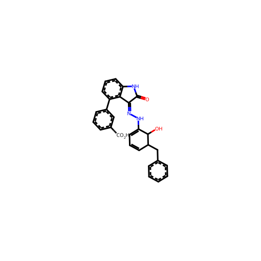 O=C1Nc2cccc(-c3cccc(C(=O)O)c3)c2C1=NNC1=CC=CC(Cc2ccccc2)C1O